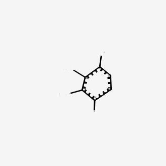 CCCCCCCc1c(O)ccc(CC)c1CCCC